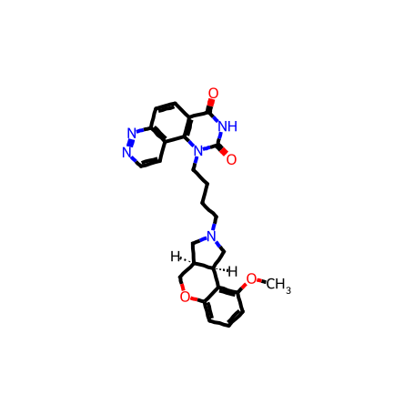 COc1cccc2c1[C@@H]1CN(CCCCn3c(=O)[nH]c(=O)c4ccc5nnccc5c43)C[C@@H]1CO2